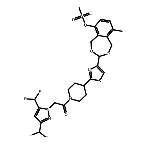 Cc1ccc(OS(C)(=O)=O)c2c1COC(c1csc(C3CCN(C(=O)Cn4nc(C(F)F)cc4C(F)F)CC3)n1)OC2